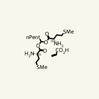 C=CC(=O)O.CCCCCC(OC(=O)[C@@H](N)CCSC)OC(=O)[C@@H](N)CCSC